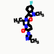 Cc1cn(-c2ccc3n(c2=O)CC(C)N(Cc2cn(C)c4cc(F)ccc24)C3=O)cn1